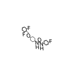 O=C(Nc1ccc(F)cc1)N[C@H]1CC[C@H](OCc2c(F)cccc2F)CC1